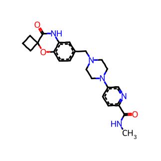 CNC(=O)c1ccc(N2CCN(Cc3ccc4c(c3)NC(=O)C3(CCC3)O4)CC2)cn1